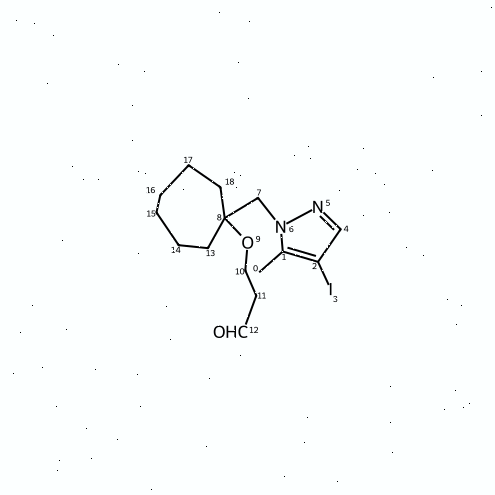 Cc1c(I)cnn1CC1(OCCC=O)CCCCCC1